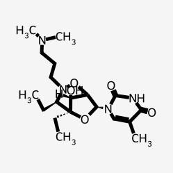 CC[C@H]1N(CCCN(C)C)OC2[C@H](n3cc(C)c(=O)[nH]c3=O)O[C@]1(CC)[C@@H]2O